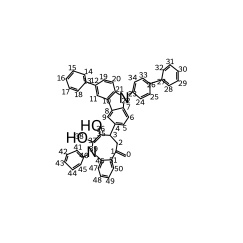 C=C1CC(c2ccc3c(c2)c2cc(-c4ccccc4)ccc2n3-c2ccc(-c3ccccc3)cc2)/C(O)=C(/O)N(c2ccccc2)c2ccccc21